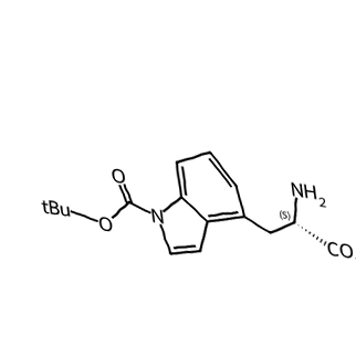 CC(C)(C)OC(=O)n1ccc2c(C[C@H](N)C(=O)O)cccc21